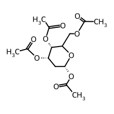 CC(=O)OCC1O[C@H](OC(C)=O)C[C@H](OC(C)=O)[C@@H]1OC(C)=O